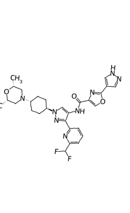 C[C@@H]1CN([C@H]2CC[C@H](n3cc(NC(=O)c4coc(-c5cn[nH]c5)n4)c(-c4cccc(C(F)F)n4)n3)CC2)C[C@H](C)O1